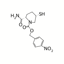 NC(=O)[C@@H]1CC[C@H](S)CN1C(=O)OCc1ccc([N+](=O)[O-])cc1